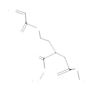 C=CC(=O)OCCC(CC(=O)OC)C(=O)OC